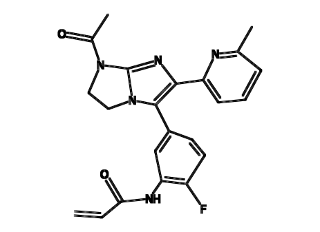 C=CC(=O)Nc1cc(-c2c(-c3cccc(C)n3)nc3n2CCN3C(C)=O)ccc1F